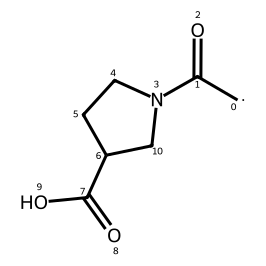 [CH2]C(=O)N1CCC(C(=O)O)C1